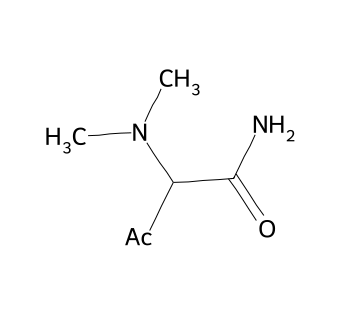 CC(=O)C(C(N)=O)N(C)C